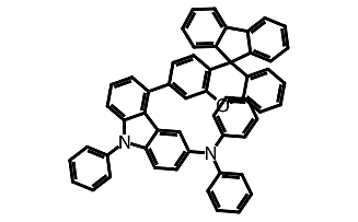 c1ccc(N(c2ccccc2)c2ccc3c(c2)c2c(-c4ccc5c(c4)Oc4ccccc4C54c5ccccc5-c5ccccc54)cccc2n3-c2ccccc2)cc1